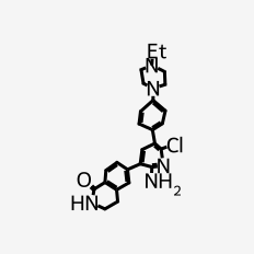 CCN1CCN(c2ccc(-c3cc(-c4ccc5c(c4)CCNC5=O)c(N)nc3Cl)cc2)CC1